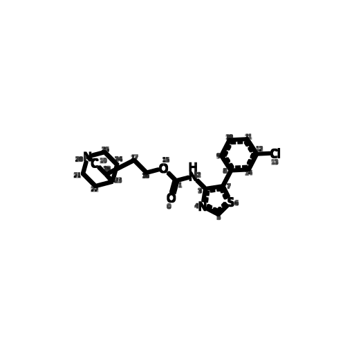 O=C(Nc1ncsc1-c1cccc(Cl)c1)OCCC1CN2CCC1CC2